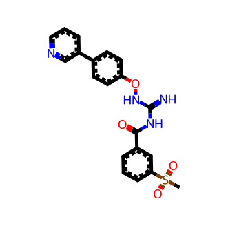 CS(=O)(=O)c1cccc(C(=O)NC(=N)NOc2ccc(-c3cccnc3)cc2)c1